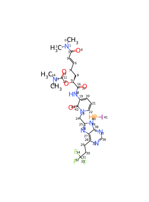 CN(C)C(=O)/C=C/CC[C@H](OC(=O)N(C)C)C(=O)Nc1cccn(Cc2nc3c(CCC(F)(F)F)ncnc3n2PI)c1=O